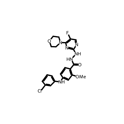 COc1cc(Nc2cccc(Cl)c2)ccc1C(=O)NNc1ncc(F)c(N2CCOCC2)n1